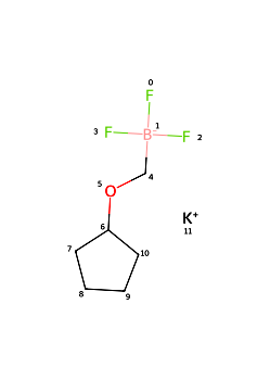 F[B-](F)(F)COC1CCCC1.[K+]